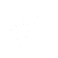 C#Cc1c(F)ccc2cc(OC(F)F)cc(-c3nc(N4CC[C@@H]4C)c4cnc(SC)nc4c3F)c12